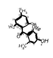 COc1cc(O)cc(C)c1C(=O)c1c(O)cc(C)cc1O